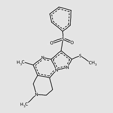 CSc1nn2c3c(c(C)nc2c1S(=O)(=O)c1ccccc1)CN(C)CC3